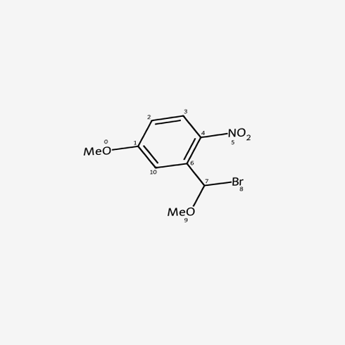 COc1ccc([N+](=O)[O-])c(C(Br)OC)c1